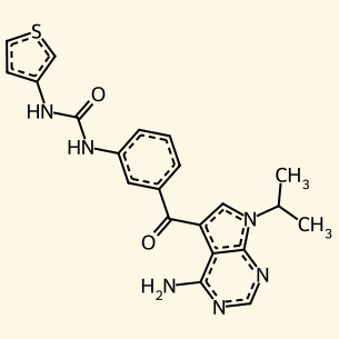 CC(C)n1cc(C(=O)c2cccc(NC(=O)Nc3ccsc3)c2)c2c(N)ncnc21